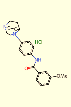 COc1cccc(C(=O)Nc2ccc(N3CCN4CCC3CC4)cc2)c1.Cl